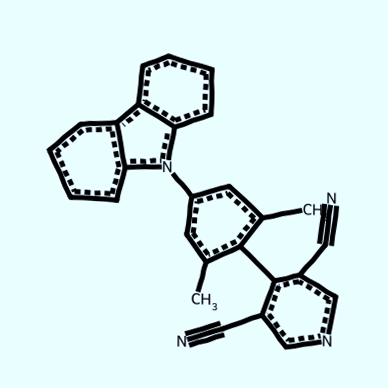 Cc1cc(-n2c3ccccc3c3ccccc32)cc(C)c1-c1c(C#N)cncc1C#N